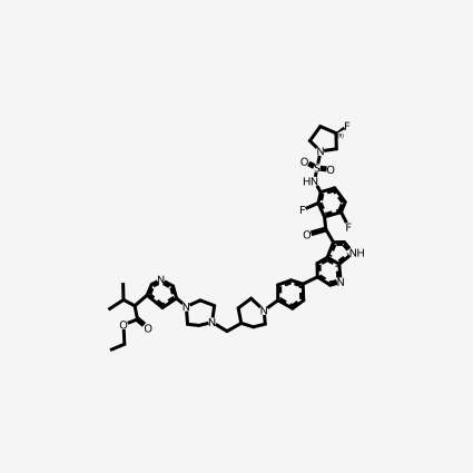 CCOC(=O)C(c1cncc(N2CCN(CC3CCN(c4ccc(-c5cnc6[nH]cc(C(=O)c7c(F)ccc(NS(=O)(=O)N8CC[C@@H](F)C8)c7F)c6c5)cc4)CC3)CC2)c1)C(C)C